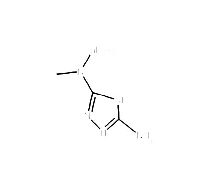 CCCCCN(C)c1nnc(N)[nH]1